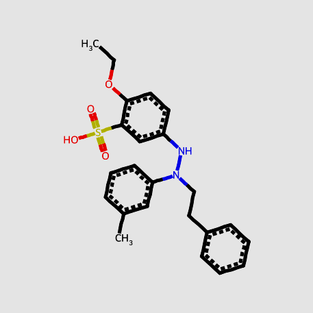 CCOc1ccc(NN(CCc2ccccc2)c2cccc(C)c2)cc1S(=O)(=O)O